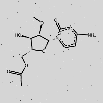 CO[C@@H]1[C@H](O)[C@@H](COC(C)=O)O[C@H]1n1ccc(N)nc1=O